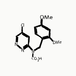 COc1ccc(CN(C(=O)O)c2cc(Cl)cnn2)c(OC)c1